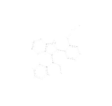 O=[N+]([O-])CC(c1ccccc1)c1c(-c2ccccc2N=C=S)[nH]c2ccccc12